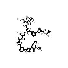 CCC(CC)NC(=O)c1cnc(-c2cccc(-c3cc(C(=O)N[C@@H](C)[C@H]4CCCO4)n[nH]3)c2)o1.COC(=O)[C@@H](NC(=O)c1cnc(-c2cccc(-c3nnc(C(=O)N[C@@H](C)C4CC4)[nH]3)c2)o1)C(C)(C)C